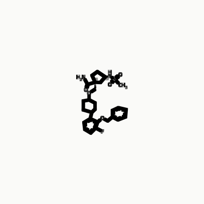 CS(=O)(=O)N[C@H]1CC[C@](COC2CCC(c3cccc(F)c3OCc3ccccc3)CC2)(C(N)=O)C1